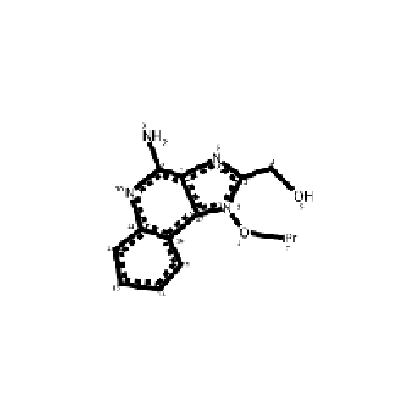 CC(C)On1c(CO)nc2c(N)nc3ccccc3c21